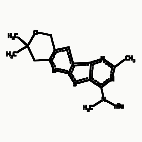 CCCCN(C)c1nc(C)nc2c1sc1nc3c(cc12)COC(C)(C)C3